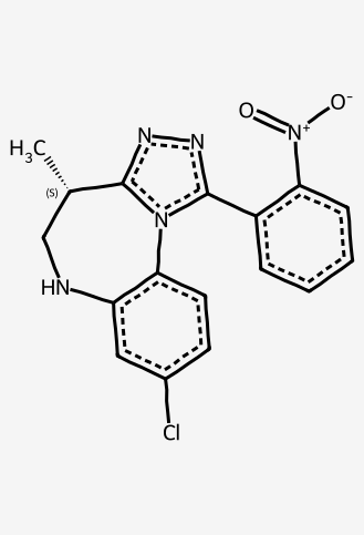 C[C@H]1CNc2cc(Cl)ccc2-n2c(-c3ccccc3[N+](=O)[O-])nnc21